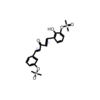 CP(C)(=O)Oc1cccc(/C=C/C(=O)/C=C/c2cccc(OP(C)(C)=O)c2O)c1